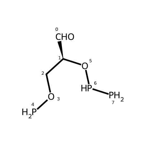 O=C[C@H](COP)OPP